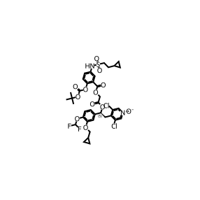 CC(C)(C)OC(=O)Oc1ccc(NS(=O)(=O)CCC2CC2)cc1C(=O)OCC(=O)O[C@@H](Cc1c(Cl)c[n+]([O-])cc1Cl)c1ccc(OC(F)F)c(OCC2CC2)c1